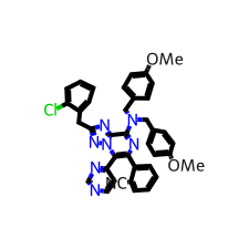 COc1ccc(CN(Cc2ccc(OC)cc2)c2nc(-c3ccccc3C#N)c(-c3ccncn3)n3nc(Cc4ccccc4Cl)nc23)cc1